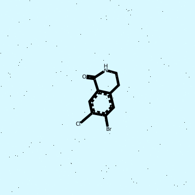 O=C1NCCc2cc(Br)c(Cl)cc21